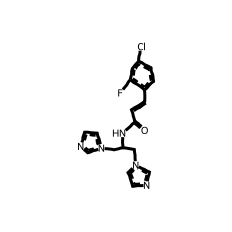 O=C(C=Cc1ccc(Cl)cc1F)NC(Cn1ccnc1)Cn1ccnc1